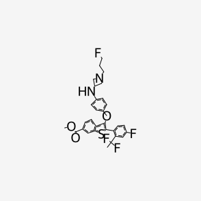 COC(=O)c1ccc2c(Oc3ccc(NC4CN(CCCF)C4)cc3)c(-c3ccc(F)cc3C(C)(F)F)sc2c1